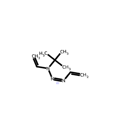 C=C/N=N\N(C=C)C(C)(C)C